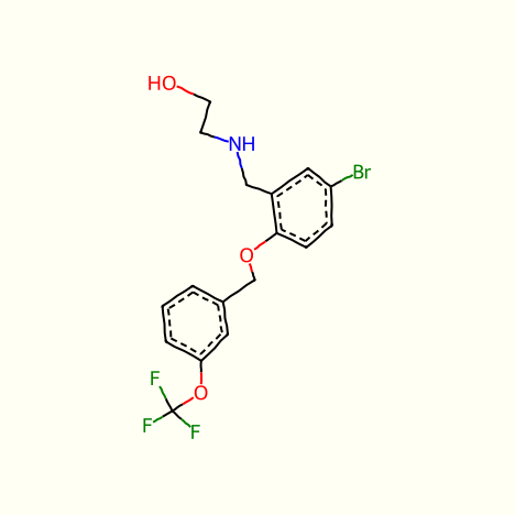 OCCNCc1cc(Br)ccc1OCc1cccc(OC(F)(F)F)c1